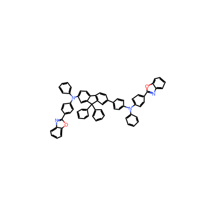 c1ccc(N(c2ccc(-c3ccc4c(c3)C(c3ccccc3)(c3ccccc3)c3cc(N(c5ccccc5)c5ccc(-c6nc7ccccc7o6)cc5)ccc3-4)cc2)c2ccc(-c3nc4ccccc4o3)cc2)cc1